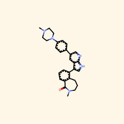 CN1CCN(c2ccc(-c3cnc4[nH]cc(-c5cccc6c5CCCN(C)C6=O)c4c3)cc2)CC1